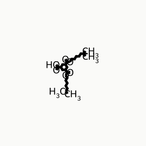 CC(C)CCCCCOC(=O)C1CC(C(=O)O)CC(C(=O)OCCCCCC(C)C)C1